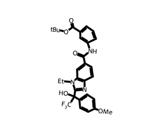 CCn1c(C(O)(c2ccc(OC)cc2)C(F)(F)F)nc2ccc(C(=O)Nc3cccc(C(=O)OC(C)(C)C)c3)cc21